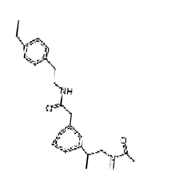 CCc1ccc(CCNC(=O)Cc2cccc(C(C)CNC(C)=O)c2)cc1